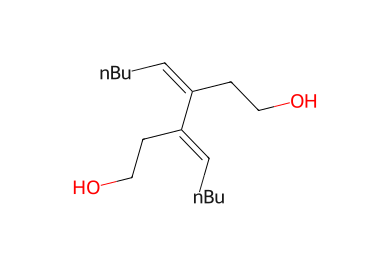 CCCCC=C(CCO)C(=CCCCC)CCO